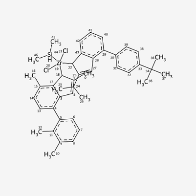 CC1=Cc2c(-c3cccc(C)c3C)ccc(C)c2[CH]1[Zr]([Cl])([Cl])([CH]1C(C(C)C)=Cc2c(-c3ccc(C(C)(C)C)cc3)cccc21)[SiH](C)C